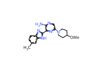 COC1CCN(c2cnc(N)c(-c3nc4ccc(C)cc4[nH]3)n2)CC1